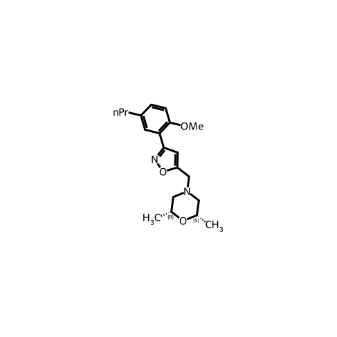 CCCc1ccc(OC)c(-c2cc(CN3C[C@@H](C)O[C@@H](C)C3)on2)c1